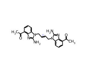 CC(=O)c1cccc2c1nc(N)n2C/C=C/Cn1c(N)nc2c(C(C)=O)cccc21